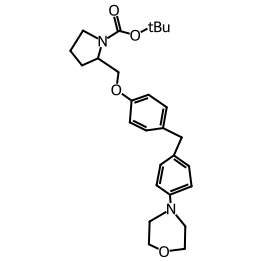 CC(C)(C)OC(=O)N1CCCC1COc1ccc(Cc2ccc(N3CCOCC3)cc2)cc1